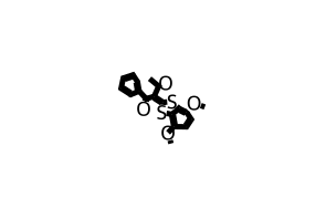 COc1ccc(OC)c2c1SC(=C(C(C)=O)C(=O)c1ccccc1)S2